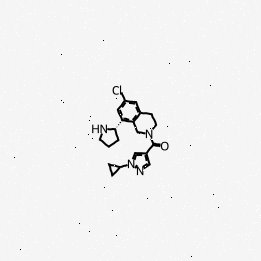 O=C(c1cnn(C2CC2)c1)N1CCc2cc(Cl)cc([C@@H]3CCCN3)c2C1